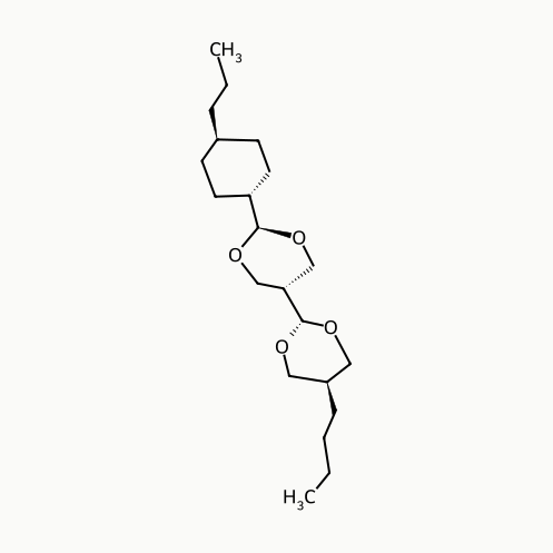 CCCC[C@H]1CO[C@H]([C@H]2CO[C@H]([C@H]3CC[C@H](CCC)CC3)OC2)OC1